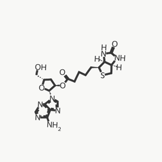 Nc1ncnc2c1ncn2[C@@H]1O[C@H](CO)C[C@H]1OC(=O)CCCC[C@@H]1SC[C@@H]2NC(=O)N[C@@H]21